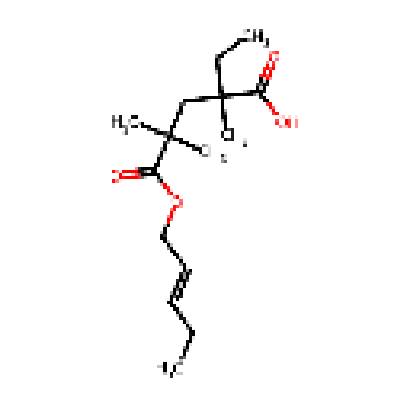 CC/C=C/COC(=O)C(C)(C)CC(C)(CC)C(=O)O